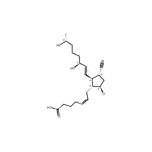 C[C@@H](O)CCC[C@H](O)/C=C/[C@@H]1[C@@H](C/C=C\CCCC(=O)O)[C@H](Cl)C[C@H]1C#N